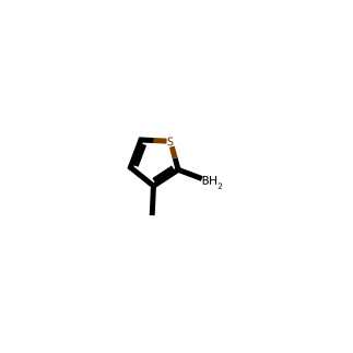 Bc1sccc1C